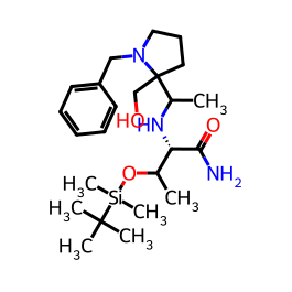 CC(O[Si](C)(C)C(C)(C)C)[C@H](NC(C)C1(CO)CCCN1Cc1ccccc1)C(N)=O